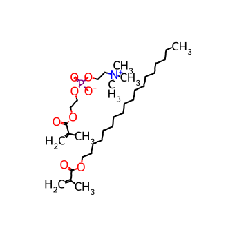 C=C(C)C(=O)OCCCCCCCCCCCCCCCCCC.C=C(C)C(=O)OCCOP(=O)([O-])OCC[N+](C)(C)C